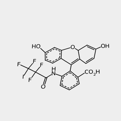 O=C(O)c1cccc(NC(=O)C(F)(F)C(F)(F)I)c1C1=C2C=CC(O)=CC2Oc2cc(O)ccc21